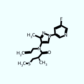 C=CCN(C(=O)[C@@H](C)CSC)c1cn(-c2cncc(F)c2)nc1C